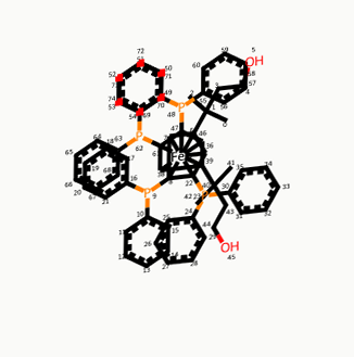 CC(C)(CCO)[C]12[CH]3[C]4(P(c5ccccc5)c5ccccc5)[C]5(P(c6ccccc6)c6ccccc6)[CH]1[Fe]32451678[CH]2[C]1(C(C)(C)CCO)[CH]6[C]7(P(c1ccccc1)c1ccccc1)[C]28P(c1ccccc1)c1ccccc1